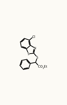 CCOC(=O)C(Sc1nc2c(Cl)cccc2s1)c1ccccc1